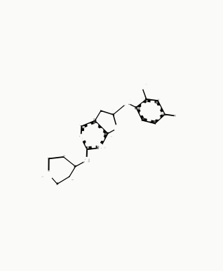 Fc1ccc(SC2Cc3cnc(NC4CCOCC4)nc3S2)c(F)c1